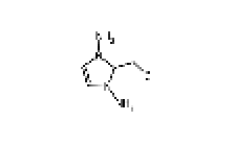 NN1C=CN(N)C1CCl